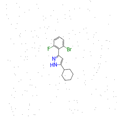 Fc1cccc(Br)c1-c1cc(C2CCCCC2)[nH]n1